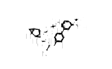 Cn1c(=O)oc2ccc(-c3ccc(C[C@@H](C#N)NC(=O)[C@@H]4[C@@H]5C[C@@H]([C@H]6C[C@@H]56)N4C(=O)OC(C)(C)C)c(F)c3)cc21